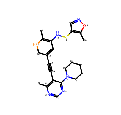 CC1=C(NSc2cnoc2C)C=C(C#Cc2c(C)ncnc2N2CCCCC2)CP1